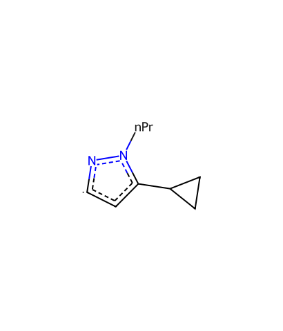 CCCn1n[c]cc1C1CC1